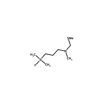 CSCN(C)CCC[Si](C)(C)F